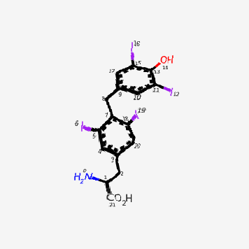 NC(Cc1cc(I)c(Cc2cc(I)c(O)c(I)c2)c(I)c1)C(=O)O